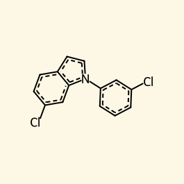 Clc1cccc(-n2ccc3ccc(Cl)cc32)c1